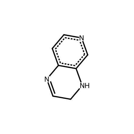 C1=Nc2ccncc2NC1